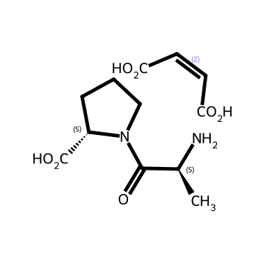 C[C@H](N)C(=O)N1CCC[C@H]1C(=O)O.O=C(O)/C=C\C(=O)O